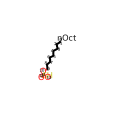 CCCCCCCCCCCCCCCCCO[SH](=O)=O